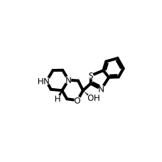 O[C@@]1(c2nc3ccccc3s2)CN2CCNC[C@H]2CO1